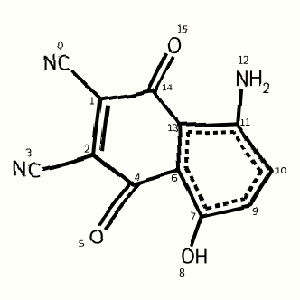 N#CC1=C(C#N)C(=O)c2c(O)ccc(N)c2C1=O